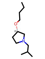 CCCCO[C@H]1CCN(CC(C)C)C1